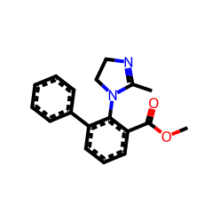 COC(=O)c1cccc(-c2ccccc2)c1N1CCN=C1C